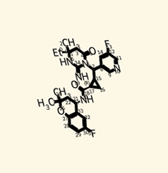 CC[C@@]1(C)CC(=O)N(C(c2cncc(F)c2)C2C[C@H]2C(=O)N[C@H]2CC(C)(C)Oc3ccc(F)cc32)C(=N)N1